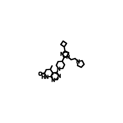 CC1CC(=O)Nc2ncnc(N3CCC(c4nc(C5CCC5)cn4CCN4CCCC4)CC3)c21